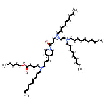 CCCCCCCCCN(CCCC(=O)OCCCCC)CCCC1CCN(C(=O)CCN(CCCCCCCCC)CCN(CCCCCCCCC)CCCCCCCCC)CC1